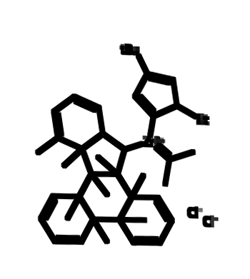 CCC1C=C(C(C)(C)C)C=[C]1[Zr+2](=[C](C)C)[CH]1C2C=CC=C(C)C2(C)C2(C)C3(C)C=CC=CC3(C)C3(C)C=CC=CC3(C)C12C.[Cl-].[Cl-]